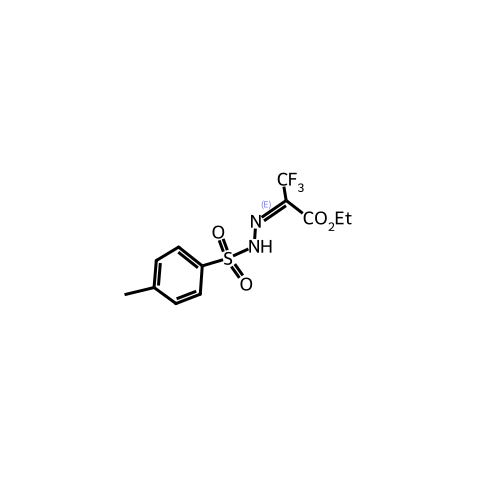 CCOC(=O)/C(=N\NS(=O)(=O)c1ccc(C)cc1)C(F)(F)F